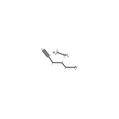 C#CCCCC(C)C.NN